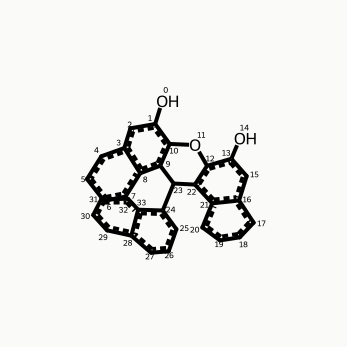 Oc1cc2ccccc2c2c1Oc1c(O)cc3ccccc3c1C2c1cccc2ccccc12